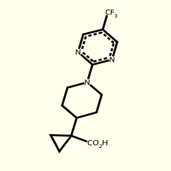 O=C(O)C1(C2CCN(c3ncc(C(F)(F)F)cn3)CC2)CC1